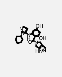 O=C(c1c(O)cc(O)cc1Nc1ccnn1C1CCCCC1)N1Cc2cn[nH]c2C1